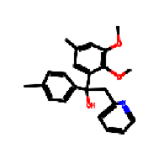 COc1cc(C)cc(C(O)(Cc2ccccn2)c2ccc(C)cc2)c1OC